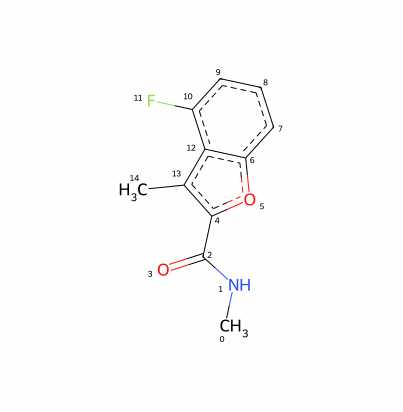 CNC(=O)c1oc2cccc(F)c2c1C